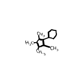 CC1=C(C)C(C)C(C2CCCCC2)=C1C